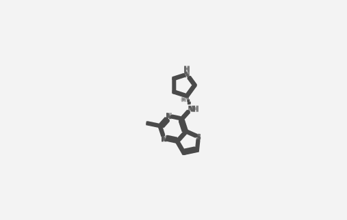 Cc1nc(N[C@@H]2CCNC2)c2sccc2n1